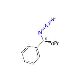 CCC[C@H](N=[N+]=[N-])c1ccccc1